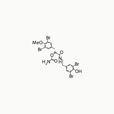 COc1c(Br)cc(C[C@@H](OC(N)=O)C(=O)NCCc2cc(Br)c(O)c(Br)c2)cc1Br